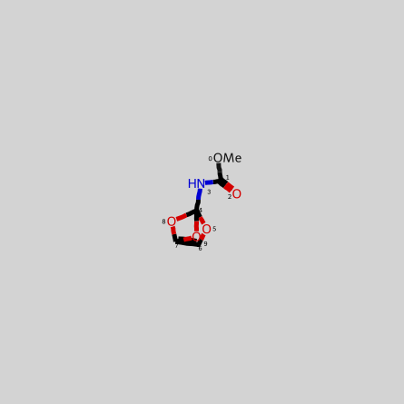 COC(=O)NC12OC=C(O1)O2